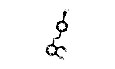 C#Cc1ccc(COc2ncnc(N)c2C=O)cc1